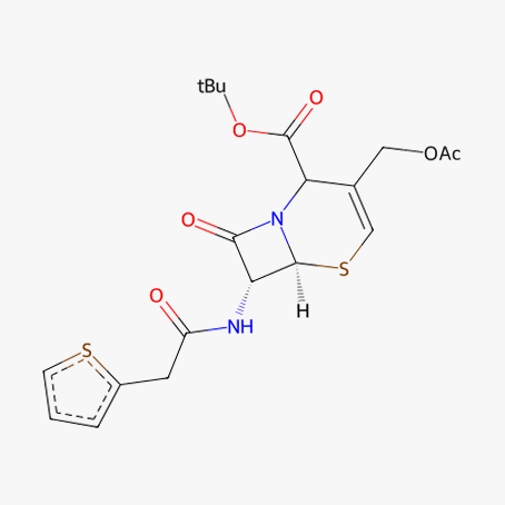 CC(=O)OCC1=CS[C@H]2[C@H](NC(=O)Cc3cccs3)C(=O)N2C1C(=O)OC(C)(C)C